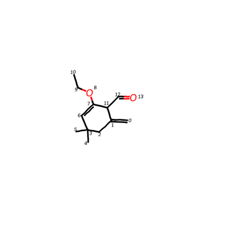 C=C1CC(C)(C)C=C(OCC)C1C=O